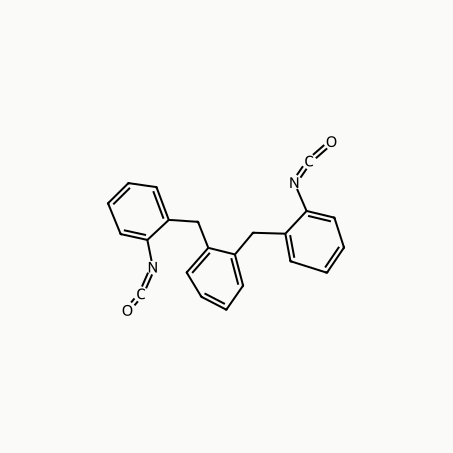 O=C=Nc1ccccc1Cc1ccccc1Cc1ccccc1N=C=O